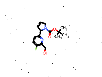 CC(C)(C)OC(=O)N1CC=CC1c1ccc(F)c(CO)n1